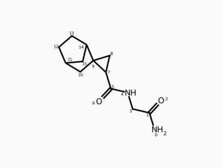 NC(=O)CNC(=O)C1CC12CC1CCC2C1